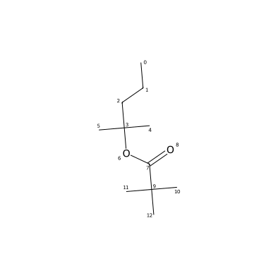 CCCC(C)(C)OC(=O)C(C)(C)C